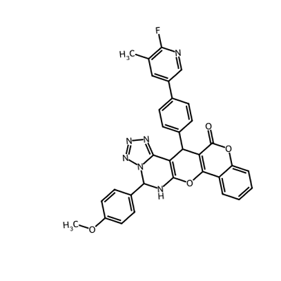 COc1ccc(C2NC3=C(c4nnnn42)C(c2ccc(-c4cnc(F)c(C)c4)cc2)c2c(c4ccccc4oc2=O)O3)cc1